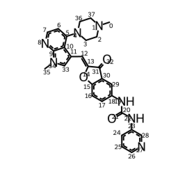 CN1CCN(c2ccnc3c2c(C=C2Oc4ccc(NC(=O)Nc5cccnc5)cc4C2=O)cn3C)CC1